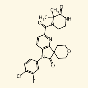 CC1(C)C(=O)NCCN1C(=O)c1ccc2c(n1)C1(CCOCC1)C(=O)N2c1ccc(Cl)c(F)c1